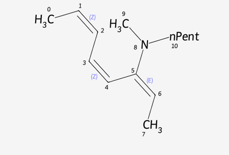 C\C=C/C=C\C(=C/C)N(C)CCCCC